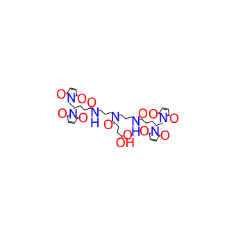 O=C(O)CCC(=O)N(CCCNC(=O)CCC(CN1C(=O)C=CC1=O)N1C(=O)C=CC1=O)CCCNC(=O)CCC(CN1C(=O)C=CC1=O)N1C(=O)C=CC1=O